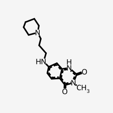 Cn1c(=O)[nH]c2cc(NCCCN3CCCCC3)ccc2c1=O